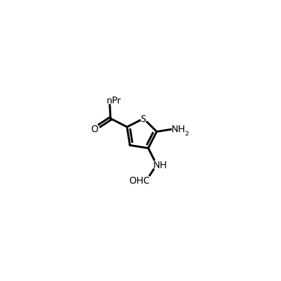 CCCC(=O)c1cc(NC=O)c(N)s1